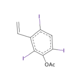 C=Cc1c(I)cc(I)c(OC(C)=O)c1I